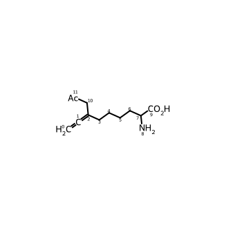 C=C=C(CCCCC(N)C(=O)O)CC(C)=O